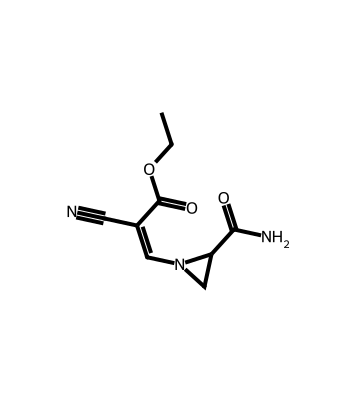 CCOC(=O)C(C#N)=CN1CC1C(N)=O